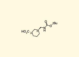 CC(C)(C)OC(=O)NC[C@H]1CCC[C@H](C(=O)O)C1